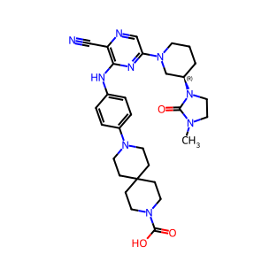 CN1CCN([C@@H]2CCCN(c3cnc(C#N)c(Nc4ccc(N5CCC6(CCN(C(=O)O)CC6)CC5)cc4)n3)C2)C1=O